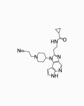 N#CCCN1CCC(n2c(CCNC(=O)C3CC3)nc3cnc4[nH]ccc4c32)CC1